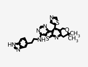 CC1(C)Cc2nc3sc4c(NCCc5ccc6[nH]cnc6c5)ncnc4c3c(-c3cncs3)c2CO1